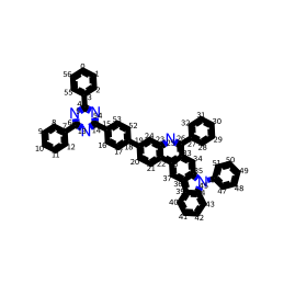 c1ccc(-c2nc(-c3ccccc3)nc(-c3ccc(-c4ccc5c(c4)nc(-c4ccccc4)c4cc6c(cc45)c4ccccc4n6-c4ccccc4)cc3)n2)cc1